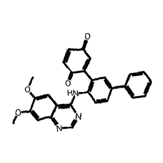 COc1cc2ncnc(Nc3ccc(-c4ccccc4)cc3C3=CC(=O)C=CC3=O)c2cc1OC